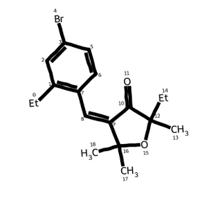 CCc1cc(Br)ccc1C=C1C(=O)C(C)(CC)OC1(C)C